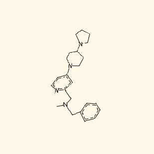 CN(Cc1ccccc1)Cc1cc(N2CCC(N3CCCC3)CC2)ccn1